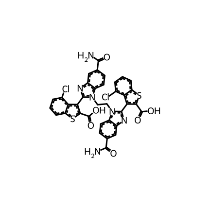 NC(=O)c1ccc2c(c1)nc(-c1c(C(=O)O)sc3cccc(Cl)c13)n2CCn1c(-c2c(C(=O)O)sc3cccc(Cl)c23)nc2cc(C(N)=O)ccc21